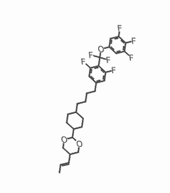 C/C=C/C1COC(C2CCC(CCCCc3cc(F)c(C(F)(F)Oc4cc(F)c(F)c(F)c4)c(F)c3)CC2)OC1